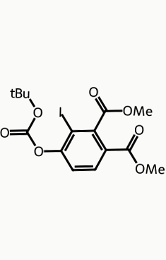 COC(=O)c1ccc(OC(=O)OC(C)(C)C)c(I)c1C(=O)OC